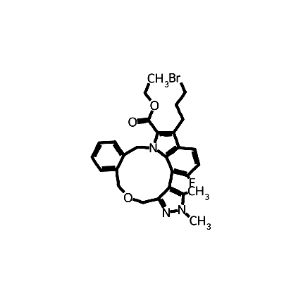 CCOC(=O)c1c(CCCBr)c2ccc(F)c3c2n1Cc1ccccc1COCc1nn(C)c(C)c1-3